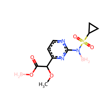 BOC(=O)C(OC)c1ccnc(N(B)S(=O)(=O)C2CC2)n1